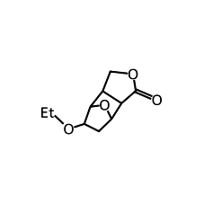 CCOC1CC2OC1C1COC(=O)C21